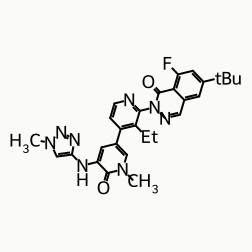 CCc1c(-c2cc(Nc3cn(C)nn3)c(=O)n(C)c2)ccnc1-n1ncc2cc(C(C)(C)C)cc(F)c2c1=O